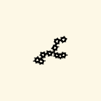 c1ccc(-c2cccc(-c3ccc(N(c4ccc(-c5cccc(-c6cccc7ccccc67)c5)cc4)c4ccc5sc6ccccc6c5c4)cc3)c2)cc1